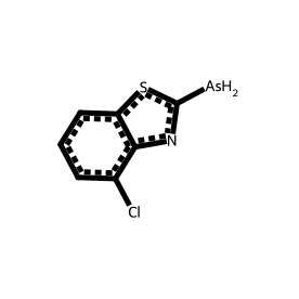 Clc1cccc2sc([AsH2])nc12